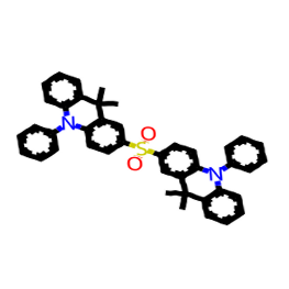 CC1(C)c2ccccc2N(c2ccccc2)c2ccc(S(=O)(=O)c3ccc4c(c3)C(C)(C)c3ccccc3N4c3ccccc3)cc21